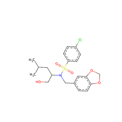 CC(C)CC(CO)N(Cc1ccc2c(c1)OCO2)S(=O)(=O)c1ccc(Cl)cc1